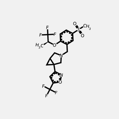 C[C@H](Oc1ccc(S(C)(=O)=O)cc1CN1CC2CC2(c2cc(C(F)(F)F)on2)C1)C(F)(F)F